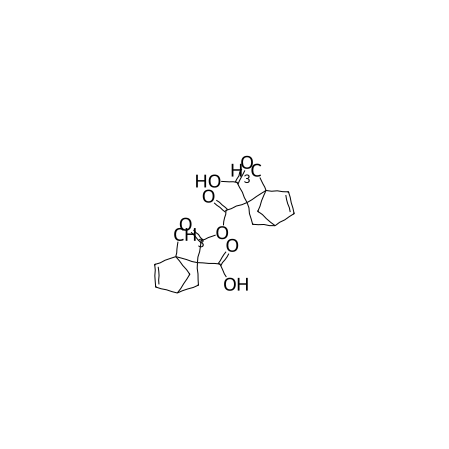 CC12C=CC(C1)CC2(C(=O)O)C(=O)OC(=O)C1(C(=O)O)CC2C=CC1(C)C2